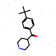 CC(C)(C)c1ccc(C(=O)C2CC[N]CC2)cc1